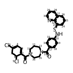 O=C(C1=CC=C(Cl)CC1Cl)N1CCCN(C(=O)c2ccc(NSc3cccc4cccnc34)cc2)CC1